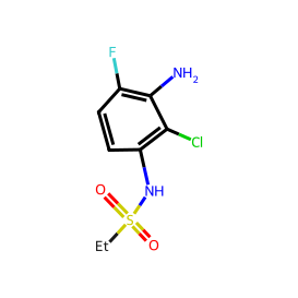 CCS(=O)(=O)Nc1ccc(F)c(N)c1Cl